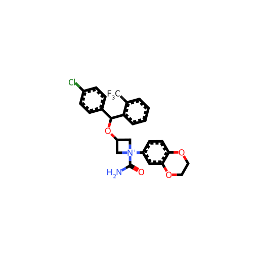 NC(=O)[N+]1(c2ccc3c(c2)OCCO3)CC(OC(c2ccc(Cl)cc2)c2ccccc2C(F)(F)F)C1